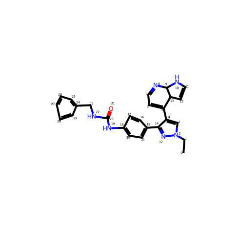 CCn1cc(C2=CC=NC3NC=CC23)c(-c2ccc(NC(=O)NCc3ccccc3)cc2)n1